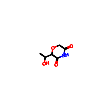 CC(O)C1OCC(=O)NC1=O